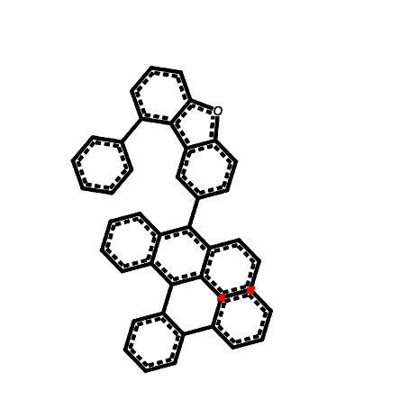 c1ccc(-c2ccccc2-c2c3ccccc3c(-c3ccc4oc5cccc(-c6ccccc6)c5c4c3)c3ccccc23)cc1